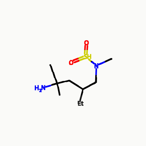 CCC(CN(C)[SH](=O)=O)CC(C)(C)N